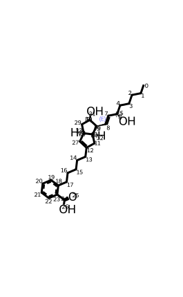 CCCCC[C@H](O)/C=C/[C@H]1[C@H]2CC(CCCCCc3ccccc3C(=O)O)=C[C@H]2C[C@H]1O